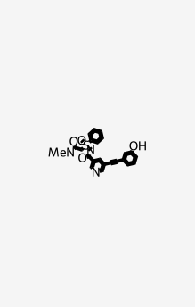 CNC(=O)CS(=O)(=NC(=O)c1cncc(C#Cc2cccc(O)c2)c1)c1ccccc1